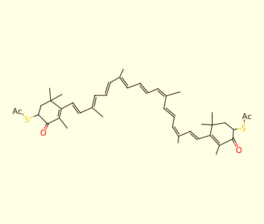 CC(=O)SC1CC(C)(C)C(C=CC(C)=CC=CC(C)=CC=CC=C(C)C=CC=C(C)C=CC2=C(C)C(=O)C(SC(C)=O)CC2(C)C)=C(C)C1=O